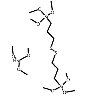 CO[SiH](OC)OC.CO[Si](CCCSSCCC[Si](OC)(OC)OC)(OC)OC